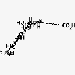 O=C(O)CCCCCCCCCCCCCCCCCC(=O)NC[C@H]1CC[C@H](C(=O)N[C@@H](CCC(=O)NCCOCCOCC(=O)NCCOCCOCC(=O)NCCCC[C@H](NS)C(=O)O)C(=O)O)CC1